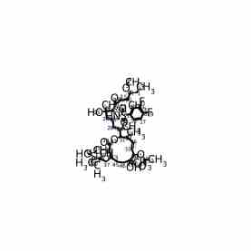 CC[C@H](OC)[C@@H](C)[C@H]1O[C@@H]1C(NS(=O)(=O)c1ccc(F)c(F)c1)C(C)(O)/C=C/C=C(\C)C1OC(=O)C[C@H](CC(C)(C)[Si](C)(C)O)CC[C@@](C)(O)[C@@H](OC(C)=O)/C=C/[C@@H]1C